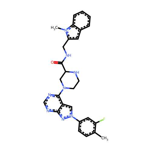 Cc1ccc(-n2cc3c(N4CCNC(C(=O)NCc5cc6ccccc6n5C)C4)ncnc3n2)cc1F